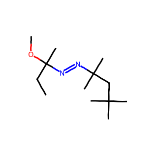 CCC(C)(N=NC(C)(C)CC(C)(C)C)OC